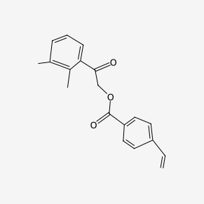 C=Cc1ccc(C(=O)OCC(=O)c2cccc(C)c2C)cc1